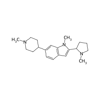 CN1CCC(c2ccc3cc(C4CCCN4C)n(C)c3c2)CC1